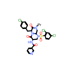 CC(C)N1CC2N(C(=O)C(NC(=O)c3cccnc3)CN2S(=O)(=O)c2ccc(Cl)cc2Cl)C(Cc2ccc(Cl)cc2)C1=O